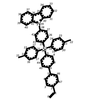 C=Cc1ccc(-c2ccc([Si](c3ccc(C)cc3)(c3ccc(C)cc3)c3ccc(-n4c5ccccc5c5ccccc54)cc3)cc2)cc1